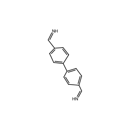 N=Cc1ccc(-c2ccc(C=N)cc2)cc1